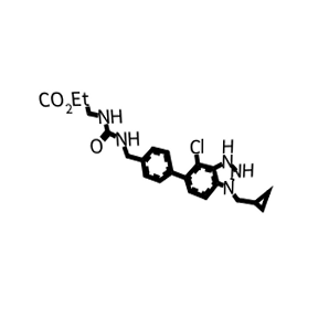 CCOC(=O)CNC(=O)NCc1ccc(-c2ccc3c(c2Cl)NNN3CC2CC2)cc1